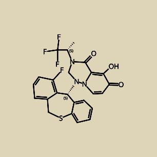 C[C@H](N1CN([C@@H]2c3ccccc3SCc3cccc(F)c32)n2ccc(=O)c(O)c2C1=O)C(F)(F)F